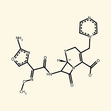 CON=C(C(=O)NC1C(=O)N2C(C(=O)[O-])=C(C[n+]3ccncc3)CS[C@@H]12)c1coc(N)n1